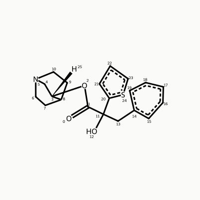 O=C(O[C@H]1CN2CCC1CC2)C(O)(Cc1ccccc1)c1cccs1